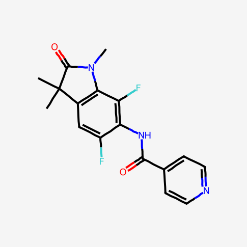 CN1C(=O)C(C)(C)c2cc(F)c(NC(=O)c3ccncc3)c(F)c21